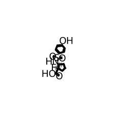 O=C(O)[C@@]1(F)CCC[C@H]1NS(=O)(=O)c1ccc(O)cc1